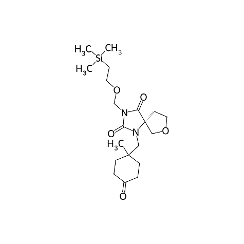 CC1(CN2C(=O)N(COCC[Si](C)(C)C)C(=O)[C@]23CCOC3)CCC(=O)CC1